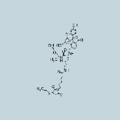 CCCSC1CC(=O)N(CCCCCC(=O)NCCCCC(NC(=O)c2ccc3c(c2)C2(OC3=O)c3ccc(O)cc3Oc3cc(O)ccc32)C(=O)NC(C)COCCO)C1=O